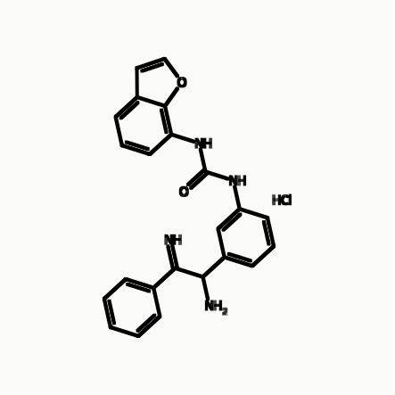 Cl.N=C(c1ccccc1)C(N)c1cccc(NC(=O)Nc2cccc3ccoc23)c1